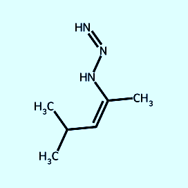 C/C(=C/C(C)C)NN=N